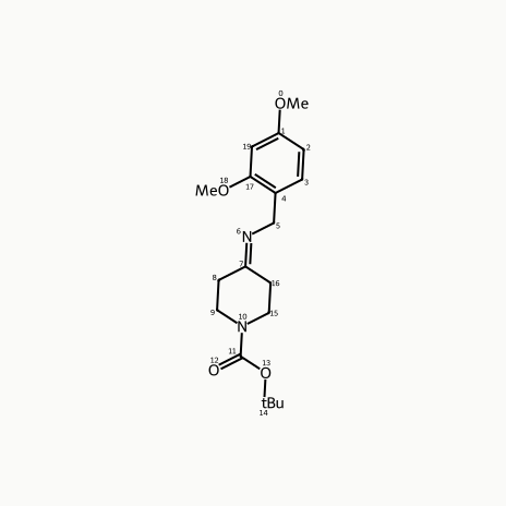 COc1ccc(CN=C2CCN(C(=O)OC(C)(C)C)CC2)c(OC)c1